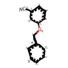 N#Cc1cccc(OCc2ccccc2)c1